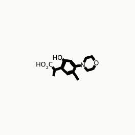 Cc1cc(C(C)C(=O)O)c(O)cc1N1CCOCC1